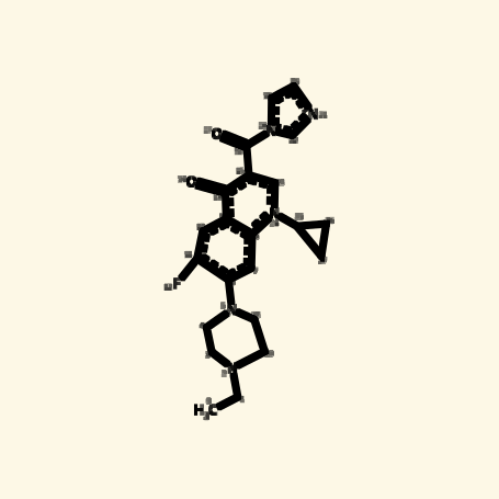 CCN1CCN(c2cc3c(cc2F)c(=O)c(C(=O)n2ccnc2)cn3C2CC2)CC1